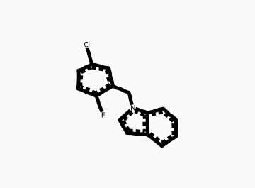 Fc1ccc(Cl)cc1Cn1ccc2ccccc21